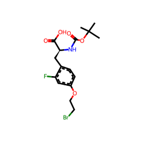 CC(C)(C)OC(=O)N[C@@H](Cc1ccc(OCCBr)cc1F)C(=O)O